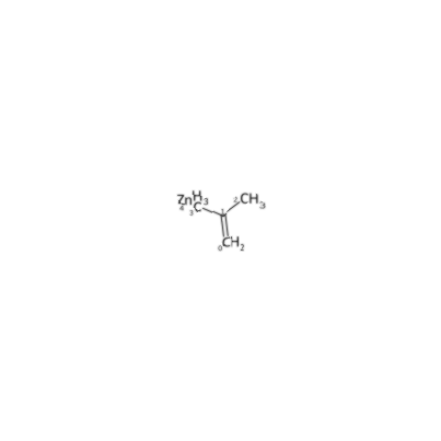 C=C(C)C.[Zn]